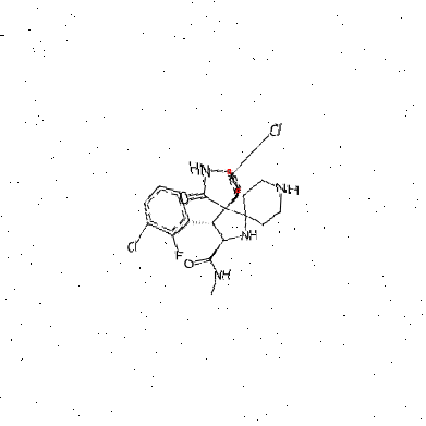 CNC(=O)[C@@H]1NC2(CCNCC2)[C@@]2(C(=O)Nc3cc(Cl)ccc32)[C@H]1c1cccc(Cl)c1F